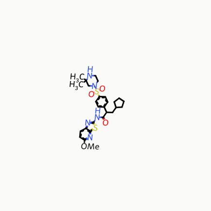 COc1ccc2nc(NC(=O)C(CC3CCCC3)c3ccc(S(=O)(=O)N4CCNC(C)(C)C4)cc3)sc2n1